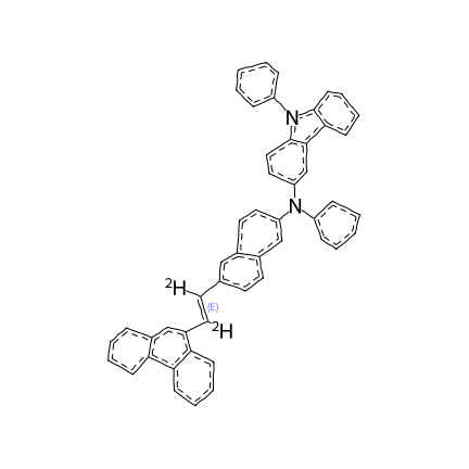 [2H]/C(=C(/[2H])c1cc2ccccc2c2ccccc12)c1ccc2cc(N(c3ccccc3)c3ccc4c(c3)c3ccccc3n4-c3ccccc3)ccc2c1